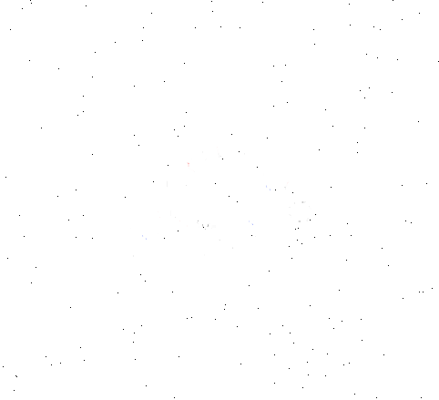 CO[C@]1(C)C[C@@H](C)CN(C)CCN(C(=O)c2ccc(Cl)cc2)CCCOC(=O)C(C)(C)C(=O)[C@H](C)[C@H]1O[C@@H]1O[C@H](C)C[C@H](N(C)C)[C@H]1O